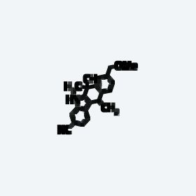 C=C1c2ccc(COC)cc2C(C)(C)c2[nH]c3cc(C#N)ccc3c21